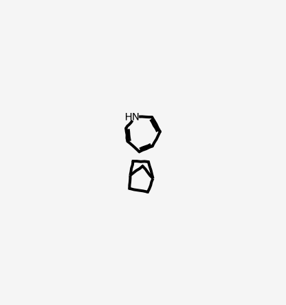 C1=CC=CNC=C1.C1CC2CCC1C2